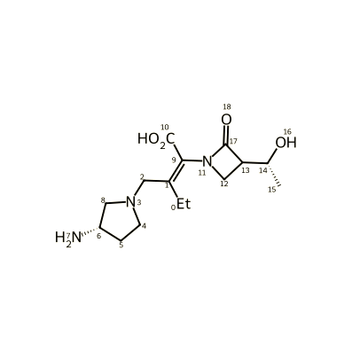 CC/C(CN1CC[C@H](N)C1)=C(/C(=O)O)N1CC([C@@H](C)O)C1=O